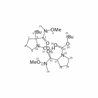 CON(C)C(=O)C1(C(C)(C)C)CCCN1C(=O)O.CON(C)C(=O)C1CCCN1C(=O)OC(C)(C)C